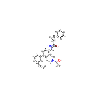 CC(C)C(=O)N1CCc2c(-c3cccc(C(=O)O)c3)ccc(CNC(=O)[C@@H]3C[C@@H]3c3ccccc3)c2C1